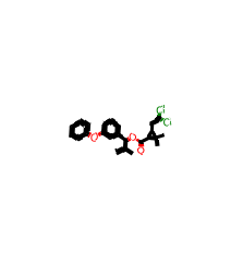 C=C(C)C(OC(=O)C1C(C=C(Cl)Cl)C1(C)C)c1cccc(Oc2ccccc2)c1